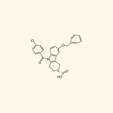 O=C(O)[C@@H]1CCc2c(c3cc(OCc4ccccc4)ccc3n2C(=O)c2ccc(Cl)cc2)C1